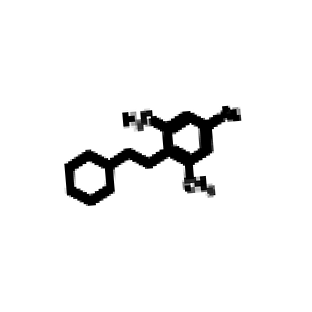 CC(=O)c1cc(C)c(CCC2CCCCC2)c(C)c1